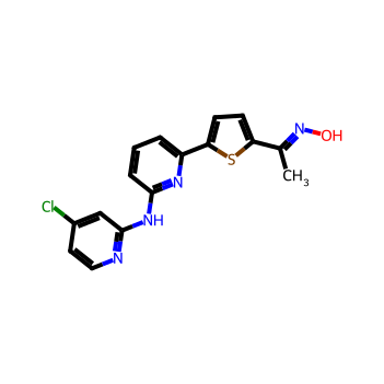 CC(=NO)c1ccc(-c2cccc(Nc3cc(Cl)ccn3)n2)s1